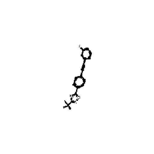 CC(C)(C)c1noc(-c2ccc(C#Cc3cccc(F)c3)cc2)n1